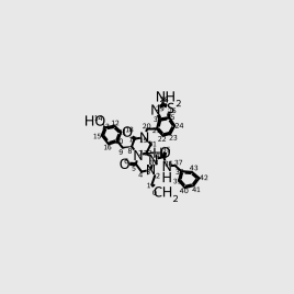 C=CCN1CC(=O)N2[C@@H](Cc3ccc(O)cc3)C(=O)N(Cc3cccc4sc(N)nc34)C[C@@H]2N1C(=O)NCc1ccccc1